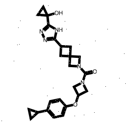 O=C(N1CC(Oc2ccc(C3CC3)cc2)C1)N1CC2(CC(c3nnc(C4(O)CC4)[nH]3)C2)C1